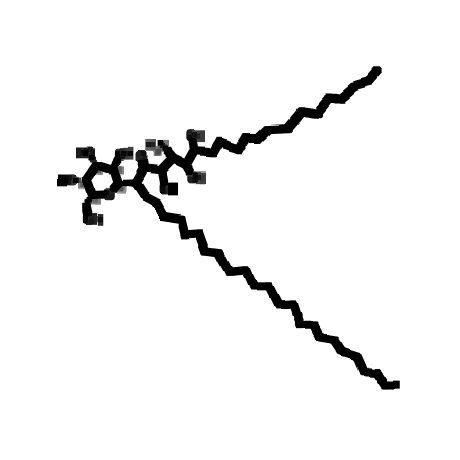 CCCCCCCCCCCCCCCCCCCCCCCCC(C(=O)C(O)C(N)C(O)C(O)CCCCCCCCCCCCCC)[C@H]1O[C@H](CO)[C@H](O)[C@H](O)[C@H]1O